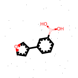 OB(O)c1cccc(-c2ccoc2)c1